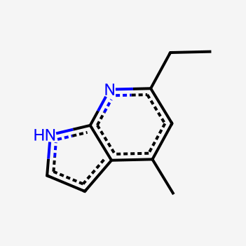 CCc1cc(C)c2cc[nH]c2n1